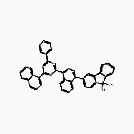 CC1(C)c2ccccc2-c2cc(-c3ccc(-c4nc(-c5ccccc5)cc(-c5cccc6ccccc56)n4)c4ccccc34)ccc21